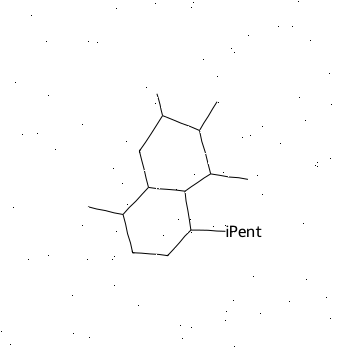 CCCC(C)C1CCC(C)C2CC(C)C(C)C(C)C12